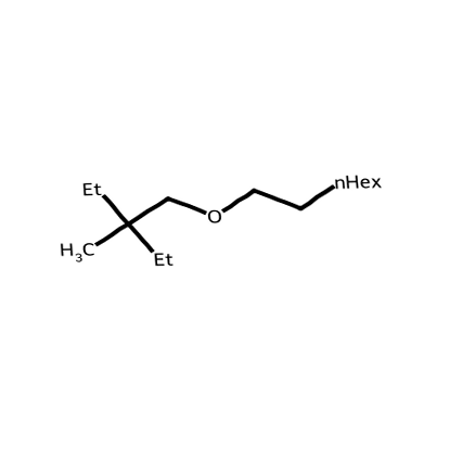 CCCCCCCCOCC(C)(CC)CC